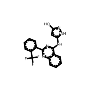 Oc1cc(Nc2nc(-c3ccccc3C(F)(F)F)nc3ccccc23)[nH]n1